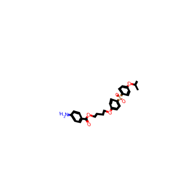 CC(C)Oc1ccc(S(=O)(=O)c2ccc(OCCCCOC(=O)c3ccc(N)cc3)cc2)cc1